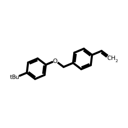 C=Cc1ccc(COc2ccc(C(C)(C)C)cc2)cc1